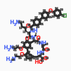 C[C@@H]1NC(=O)[C@@H](N(C)C(=O)[C@H](CCCCN)NC(=O)c2ccc(-c3ccc(Oc4ccc(Cl)cc4)cc3)cc2)c2ccc(OCCN)c(c2)-c2cc(ccc2OCCN)C[C@@H](C(=O)O)NC1=O